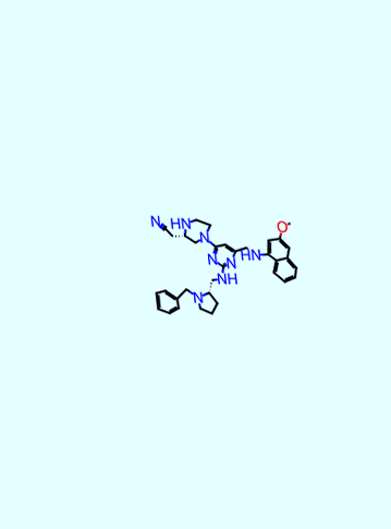 COc1cc(NCc2cc(N3CCN[C@@H](CC#N)C3)nc(NC[C@@H]3CCCN3Cc3ccccc3)n2)c2ccccc2c1